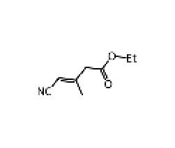 CCOC(=O)C/C(C)=C/C#N